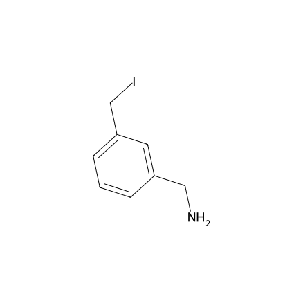 NCc1cccc(CI)c1